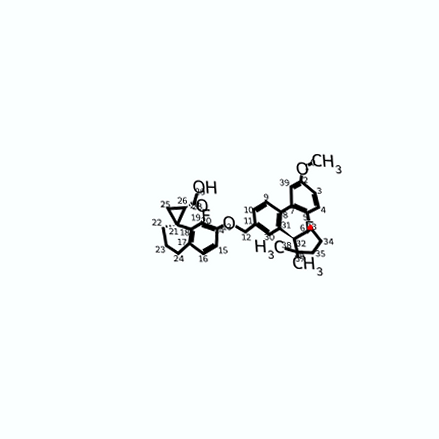 COc1ccc(F)c(-c2ccc(COc3ccc4c(c3F)[C@@]3(CCC4)C[C@@H]3C(=O)O)cc2[C@H]2CCCC2(C)C)c1